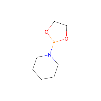 C1CCN(P2OCCO2)CC1